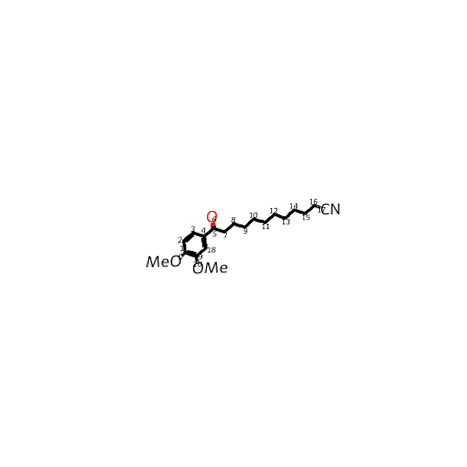 COc1ccc(C(=O)CCCCCCCCCCC#N)cc1OC